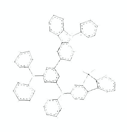 CC1(C)c2ccccc2-c2ccc(N(c3ccccc3)c3cc(-c4ccc5c(c4)c4ccccc4n5-c4ccccc4)cc(N(c4ccccc4)c4ccccc4)c3)cc21